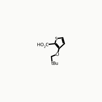 CC(C)(C)COc1ccsc1C(=O)O